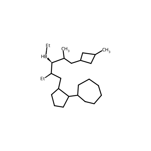 CCB[C@@H](C(C)CC1CC(C)C1)C(CC)CC1CCCC1C1CCCCCC1